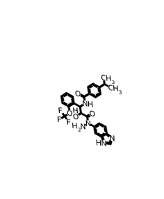 CC(C)c1ccc(C(=O)NC(c2ccccc2OC(F)(F)F)C(O)C(=O)N(N)c2ccc3nc[nH]c3c2)cc1